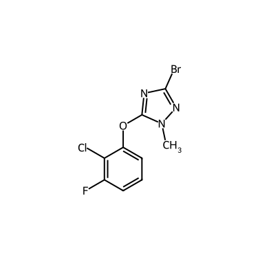 Cn1nc(Br)nc1Oc1cccc(F)c1Cl